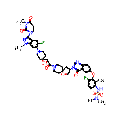 CCN(C)S(=O)(=O)Nc1ccc(F)c(Oc2ccc3ncn([C@H]4COC5(CCN(C(=O)CC6(O)CCN(c7cc8c(cc7F)c(N7CCC(=O)N(C)C7=O)nn8C)CC6)CC5)C4)c(=O)c3c2)c1C#N